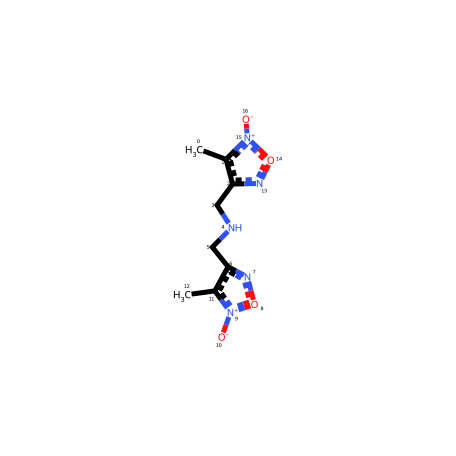 Cc1c(CNCc2no[n+]([O-])c2C)no[n+]1[O-]